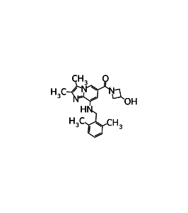 Cc1cccc(C)c1CNc1cc(C(=O)N2CC(O)C2)cn2c(C)c(C)nc12